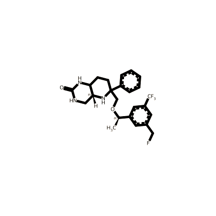 C[C@@H](OCC1(c2ccccc2)CCC2NC(=O)NC[C@H]2N1)c1cc(CF)cc(C(F)(F)F)c1